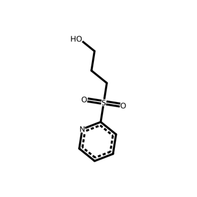 O=S(=O)(CCCO)c1ccccn1